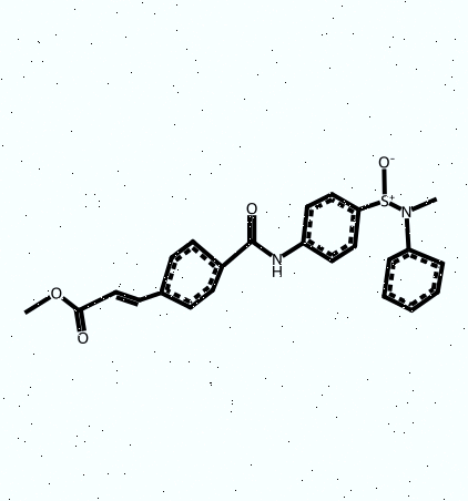 COC(=O)/C=C/c1ccc(C(=O)Nc2ccc([S+]([O-])N(C)c3ccccc3)cc2)cc1